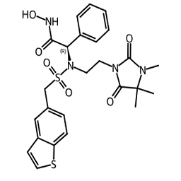 CN1C(=O)N(CCN([C@@H](C(=O)NO)c2ccccc2)S(=O)(=O)Cc2ccc3sccc3c2)C(=O)C1(C)C